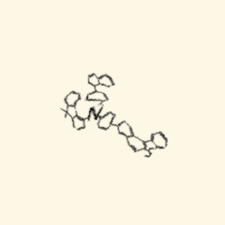 CC1(C)c2ccccc2-c2c(N(c3ccc(-c4ccc5c(ccc6sc7ccccc7c65)c4)cc3)c3ccc(-c4cccc5ccccc45)cc3)cccc21